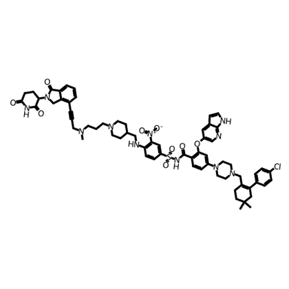 CN(CC#Cc1cccc2c1CN(C1CCC(=O)NC1=O)C2=O)CCCN1CCC(CNc2ccc(S(=O)(=O)NC(=O)c3ccc(N4CCN(CC5=C(c6ccc(Cl)cc6)CC(C)(C)CC5)CC4)cc3Oc3cnc4[nH]ccc4c3)cc2[N+](=O)[O-])CC1